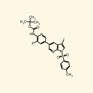 Cc1ccc(S(=O)(=O)n2cc(I)c3cc(-c4cnc(NC(=O)OC(C)(C)C)c(F)c4)cnc32)cc1